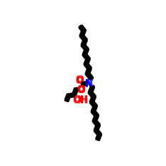 CCCCCCCCCCCCN(CCCCCCCCCCCC)C(=O)OCC(O)CC